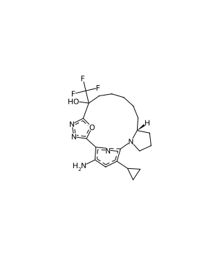 Nc1cc(C2CC2)c2nc1-c1nnc(o1)C(O)(C(F)(F)F)CCCCC[C@@H]1CCCN21